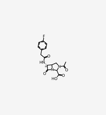 CC(=O)N1CC2[C@@H](NC(=O)Cc3ccc(F)cc3)C(=O)N2C1C(=O)O